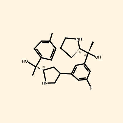 Cc1ccc(C(C)(O)[C@@H]2CC(c3cc(F)cc([C@@](C)(O)[C@@H]4CCCN4)c3)CN2)cc1